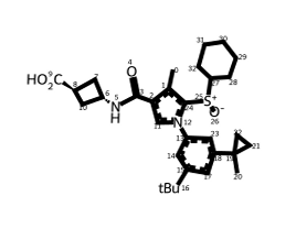 Cc1c(C(=O)N[C@H]2C[C@H](C(=O)O)C2)cn(-c2cc(C(C)(C)C)cc(C3(C)CC3)c2)c1[S+]([O-])C1CCCCC1